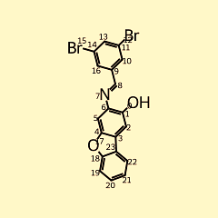 Oc1cc2c(cc1/N=C/c1cc(Br)cc(Br)c1)oc1ccccc12